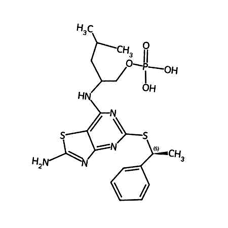 CC(C)CC(COP(=O)(O)O)Nc1nc(S[C@@H](C)c2ccccc2)nc2nc(N)sc12